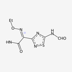 CCO/N=C(\C([NH])=O)c1nsc(NC=O)n1